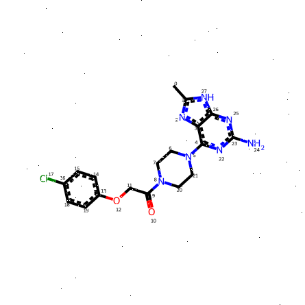 Cc1nc2c(N3CCN(C(=O)COc4ccc(Cl)cc4)CC3)nc(N)nc2[nH]1